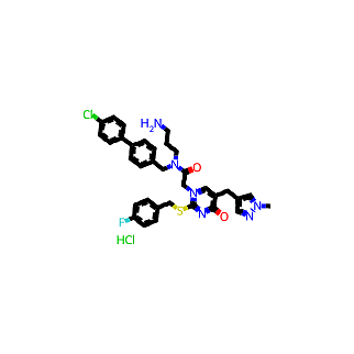 Cl.Cn1cc(Cc2cn(CC(=O)N(CCCN)Cc3ccc(-c4ccc(Cl)cc4)cc3)c(SCc3ccc(F)cc3)nc2=O)cn1